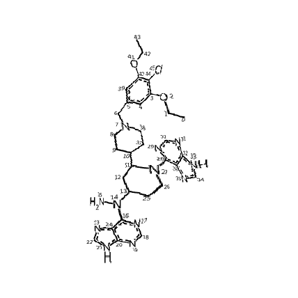 CCOc1cc(CN2CCC(C3CC(N(N)c4ncnc5[nH]cnc45)CCN3c3ncnc4[nH]cnc34)CC2)cc(OCC)c1Cl